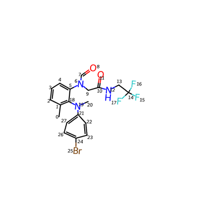 Cc1cccc(N(C=O)CC(=O)NCC(F)(F)F)c1N(C)c1ccc(Br)cc1